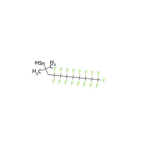 C[C](C)([SnH])CC(F)(F)C(F)(F)C(F)(F)C(F)(F)C(F)(F)C(F)(F)C(F)(F)C(F)(F)F